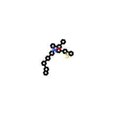 c1ccc(-c2cccc(-c3ccccc3N(c3ccc(-c4ccc(-c5cccc(-c6ccc7ccccc7c6)c5)cc4)cc3)c3ccc(-c4ccc5c(c4)sc4ccccc45)cc3)c2)cc1